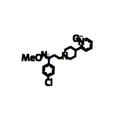 CO/N=C(/CCN1CCC(c2cccc[n+]2[O-])CC1)c1ccc(Cl)cc1